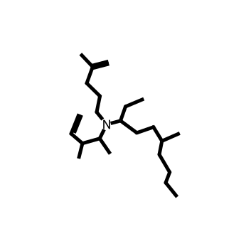 C=CC(C)C(C)N(CCCC(=C)C)C(CC)CCC(C)CCCC